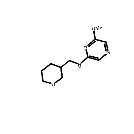 COc1cncc(NCC2CCCOC2)n1